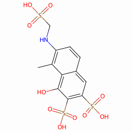 Cc1c(NCS(=O)(=O)O)ccc2cc(S(=O)(=O)O)c(S(=O)(=O)O)c(O)c12